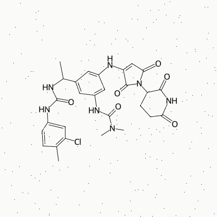 Cc1ccc(NC(=O)NC(C)c2cc(NC(=O)N(C)C)cc(NC3=CC(=O)N(C4CCC(=O)NC4=O)C3=O)c2)cc1Cl